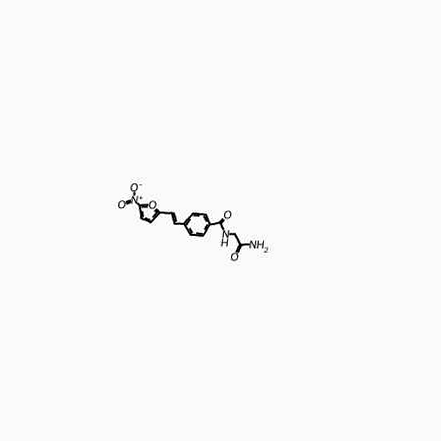 NC(=O)CNC(=O)c1ccc(C=Cc2ccc([N+](=O)[O-])o2)cc1